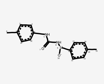 Cc1ccc(NC(=O)N[S+]([O-])c2ccc(C)cc2)cc1